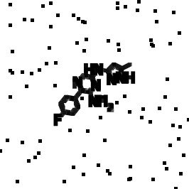 Cc1cc(Nc2cnc(-c3ccc(F)cc3)c(N)n2)n[nH]1